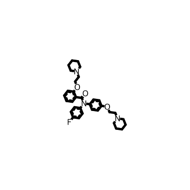 O=C(c1ccccc1OCCN1CCCCC1)N(c1ccc(F)cc1)c1ccc(OCCN2CCCCC2)cc1